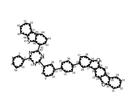 c1ccc(-c2nc(-c3cccc(-c4ccc(-c5ccc6oc7cc8c(cc7c6c5)oc5ccccc58)cc4)c3)nc(-c3cccc4c3sc3ccccc34)n2)cc1